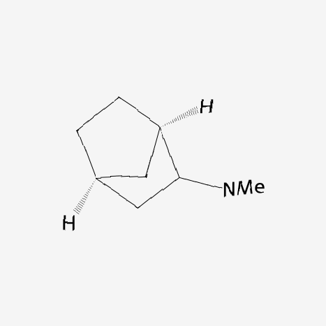 CNC1C[C@H]2CC[C@@H]1C2